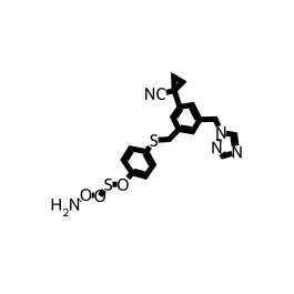 N#CC1(c2cc(CSc3ccc(OSOON)cc3)cc(Cn3cncn3)c2)CC1